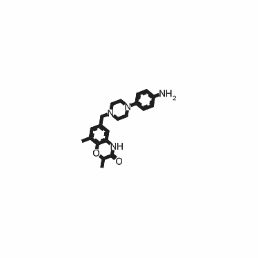 Cc1cc(CN2CCN(c3ccc(N)cc3)CC2)cc2c1OC(C)C(=O)N2